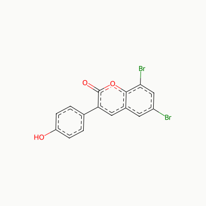 O=c1oc2c(Br)cc(Br)cc2cc1-c1ccc(O)cc1